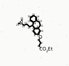 CCOC(=O)CCCOc1ccc2c(c1)CCc1ccccc1C2CCCN(C)C